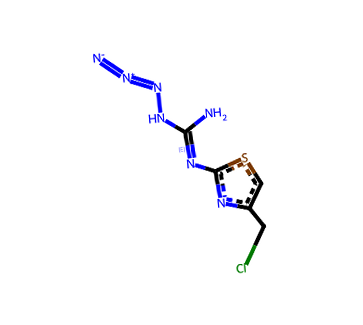 [N-]=[N+]=NN/C(N)=N/c1nc(CCl)cs1